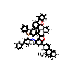 CC1(C)C2=C(C=CC(c3ccc(N(c4ccc(-c5ccccc5)cc4)c4cccc5c4sc4ccccc45)c4c3oc3c5ccccc5c(-c5cccc6c5oc5ccccc56)cc34)C2)c2ccccc21